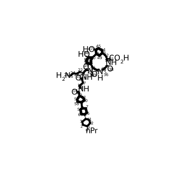 CCC[C@H]1CC[C@H](c2ccc(-c3ccc(C(=O)NCCC(=O)N[C@@H](CCCCN)C(=O)N(C)[C@@H]4C(=O)N[C@@H](C)C(=O)N[C@H](C(=O)O)Cc5ccc(O)c(c5)-c5cc4ccc5O)cc3)cc2)CC1